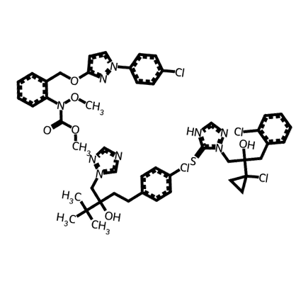 CC(C)(C)C(O)(CCc1ccc(Cl)cc1)Cn1cncn1.COC(=O)N(OC)c1ccccc1COc1ccn(-c2ccc(Cl)cc2)n1.OC(Cc1ccccc1Cl)(Cn1nc[nH]c1=S)C1(Cl)CC1